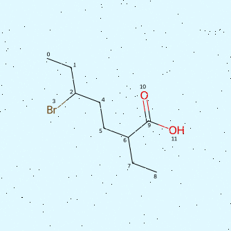 CCC(Br)CCC(CC)C(=O)O